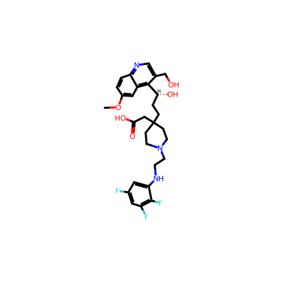 COc1ccc2ncc(CO)c([C@H](O)CCC3(CC(=O)O)CCN(CCNc4cc(F)cc(F)c4F)CC3)c2c1